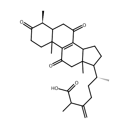 C=C(CC[C@@H](C)C1CCC2C3=C(C(=O)CC21C)C1(C)CCC(=O)[C@@H](C)C1CC3=O)C(C)C(=O)O